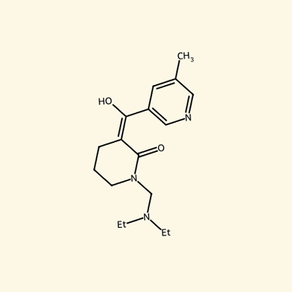 CCN(CC)CN1CCC/C(=C(\O)c2cncc(C)c2)C1=O